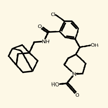 O=C(NCC12CC3CC(CC(C3)C1)C2)c1cc(C(O)C2CCN(C(=O)O)CC2)ccc1Cl